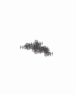 CC(=O)NC1(C)C2(C)C(OCC3(C)OC4(C)C(C)(COC[C@]5(C)OC6(CO)OC(C)(C5(C)COCC5(C)OC7(C)C(O)(C5(C)O)[C@]7(C)O)[C@]6(C)O)C4(O)C3(C)O)C(CO)(O[C@@]1(C)OC(=O)CCCCC1SC[C@@H]3NC(=O)N[C@H]13)[C@@]2(C)O